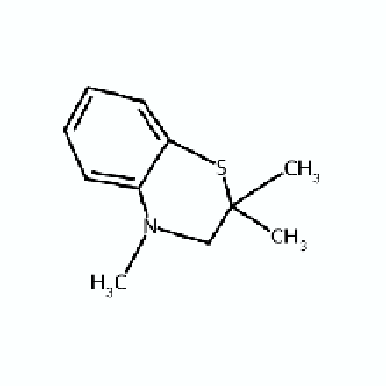 CN1CC(C)(C)Sc2ccccc21